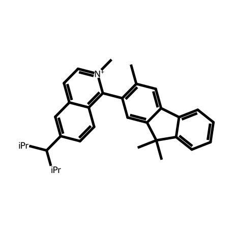 Cc1cc2c(cc1-c1c3ccc(C(C(C)C)C(C)C)cc3cc[n+]1C)C(C)(C)c1ccccc1-2